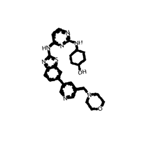 OC1CCC(Nc2nccc(Nc3nc4ccc(-c5cncc(CN6CCOCC6)c5)cc4s3)n2)CC1